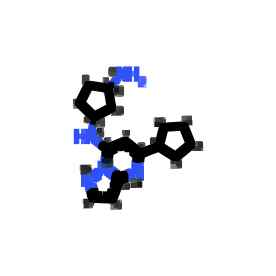 N[C@@H]1CC[C@H](Nc2cc(C3CCCC3)nc3ccnn23)C1